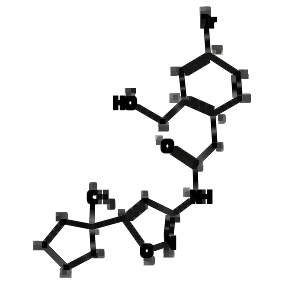 CC1(c2cc(NC(=O)Cc3ccc(Br)cc3CO)no2)CCCC1